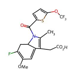 COC1=C(F)CC2C(=C1)C(CC(=O)O)=C(C)N2C(=O)c1ccc(OC(F)(F)F)s1